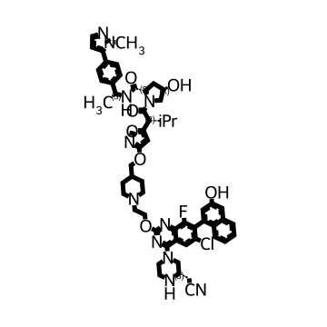 CC(C)[C@@H](C(=O)N1C[C@H](O)C[C@H]1C(=O)N[C@@H](C)c1ccc(-c2ccnn2C)cc1)c1cc(OCC2CCN(CCOc3nc(N4CCN[C@@H](CC#N)C4)c4cc(Cl)c(-c5cc(O)cc6ccccc56)c(F)c4n3)CC2)no1